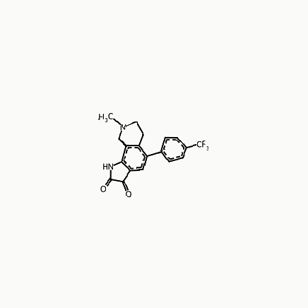 CN1CCc2c(-c3ccc(C(F)(F)F)cc3)cc3c(c2C1)NC(=O)C3=O